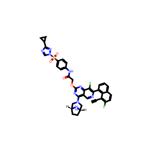 C#Cc1c(F)ccc2cccc(-c3ncc4c(N5C[C@H]6CC[C@@H](C5)N6)nc(OCC(=O)Nc5ccc(S(=O)(=O)n6cnc(C7CC7)n6)cc5)nc4c3F)c12